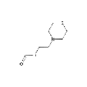 O=[C]OCCN1CCSCC1